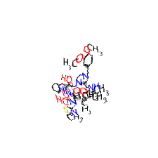 COc1ccc(CN2CCN(C[C@H](O)[C@H](Cc3ccccc3)NC(=O)[C@H](C(C)C)N(Cc3csc(C)n3)C(=O)O)[C@H](C(=O)NC(C)(C)C)C2)cc1OC